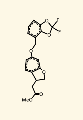 COC(=O)CC1COc2cc(OCc3cccc4c3OC(F)(F)O4)ccc21